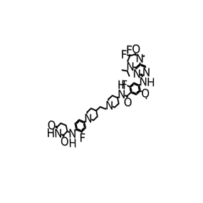 COc1cc(C(=O)NC2CCN(CCC3CCN(c4ccc(NC5CCC(=O)NC5=O)c(F)c4)CC3)CC2)c(F)cc1Nc1ncc2c(n1)N(C(C)C)CC(F)(F)C(=O)N2C